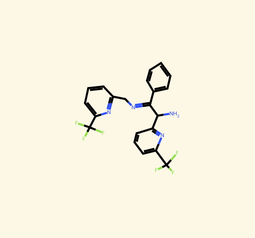 NC(/C(=N/Cc1cccc(C(F)(F)F)n1)c1ccccc1)c1cccc(C(F)(F)F)n1